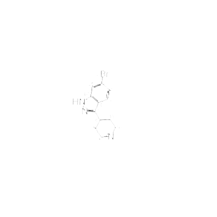 Brc1ccc2c(C3CC[N]CC3)n[nH]c2c1